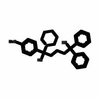 COc1ccc(C(O)(CCCC(O)(c2ccccc2)c2ccccc2)N2CCCCC2)cc1